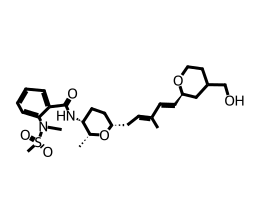 CC(/C=C/[C@@H]1CC(CO)CCO1)=C\C[C@H]1CC[C@@H](NC(=O)c2ccccc2N(C)S(C)(=O)=O)[C@@H](C)O1